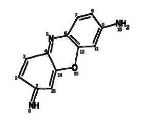 N=c1ccc2nc3ccc(N)cc3oc-2c1